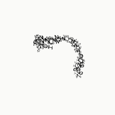 CC(C)(C)C(=O)OCN1C(=O)CCN(c2ccc(OCCN3CCC(N4CCN(CC5CCN(c6cnc(N7CCN(c8nc9c(c(NC%10(CO)CCC%10)n8)[S@+]([O-])CC9)CC7)nc6)CC5)CC4)CC3)cc2)C1=O